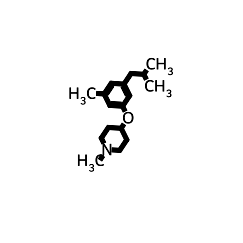 Cc1cc(CC(C)C)cc(OC2CCN(C)CC2)c1